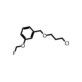 FCOc1cccc(COCCCCl)c1